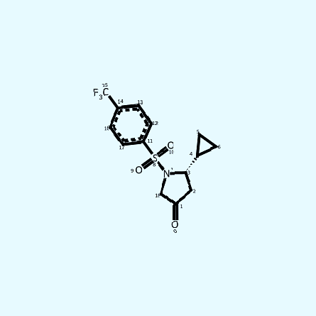 O=C1C[C@@H](C2CC2)N(S(=O)(=O)c2ccc(C(F)(F)F)cc2)C1